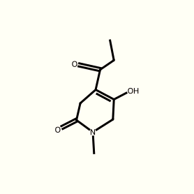 CCC(=O)C1=C(O)CN(C)C(=O)C1